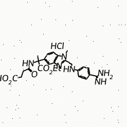 CCOC(=O)C(C)(NC(=O)CCC(=O)O)c1ccc2c(c1)nc(CNc1ccc(C(=N)N)cc1)n2C.Cl